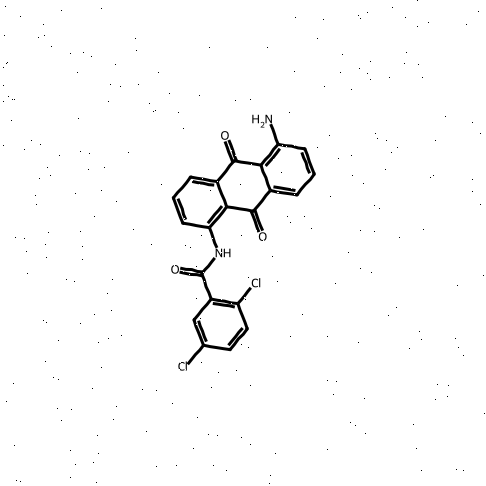 Nc1cccc2c1C(=O)c1cccc(NC(=O)c3cc(Cl)ccc3Cl)c1C2=O